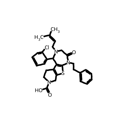 CC(C)=CCN1CC(=O)N(CCc2ccccc2)c2sc3c(c2C1c1ccccc1Cl)CCN(C(=O)O)C3